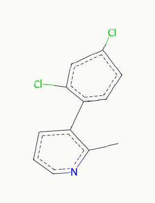 Cc1ncccc1-c1ccc(Cl)cc1Cl